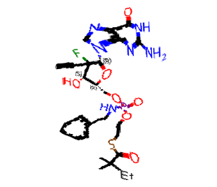 C#CC1(F)[C@@H](O)[C@@H](COP(=O)(NCc2ccccc2)OCCSC(=O)C(C)(C)CC)O[C@H]1n1cnc2c(=O)[nH]c(N)nc21